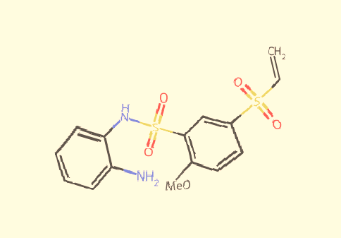 C=CS(=O)(=O)c1ccc(OC)c(S(=O)(=O)Nc2ccccc2N)c1